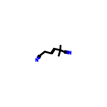 CC(C)(C#N)C=CCC#N